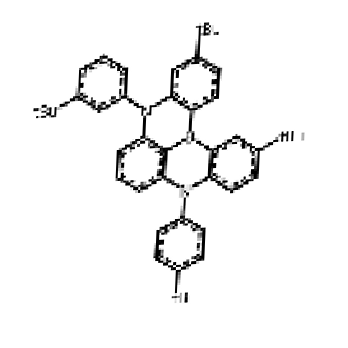 CC(C)(C)c1ccc(N2c3ccc(C(C)(C)C)cc3B3c4ccc(C(C)(C)C)cc4N(c4cccc(C(C)(C)C)c4)c4cccc2c43)cc1